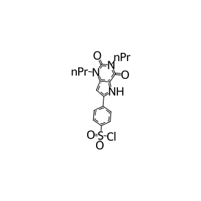 CCCn1c(=O)c2[nH]c(-c3ccc(S(=O)(=O)Cl)cc3)cc2n(CCC)c1=O